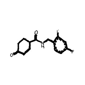 O=C1CCC(C(=O)NCc2ccc(F)cc2F)CC1